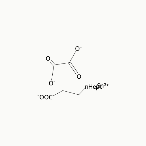 CCCCCCCCCC(=O)[O-].O=C([O-])C(=O)[O-].[Sn+3]